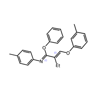 CCC(=C\Oc1cccc(C)c1)/C(=N/c1ccc(C)cc1)Oc1ccccc1